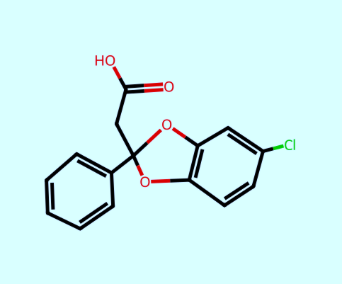 O=C(O)CC1(c2ccccc2)Oc2ccc(Cl)cc2O1